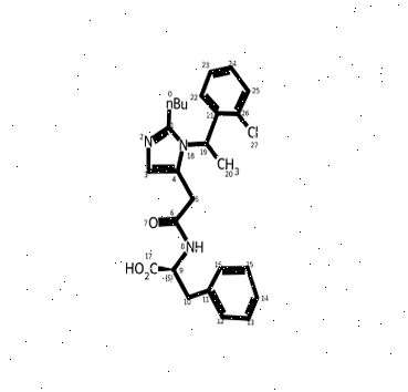 CCCCc1ncc(CC(=O)N[C@@H](Cc2ccccc2)C(=O)O)n1C(C)c1ccccc1Cl